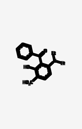 CCN(CC)c1ccc(C(=O)O)c(O)c1C(=O)c1ccccc1